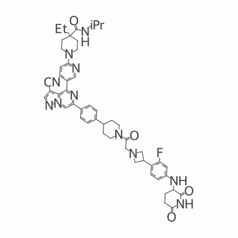 CCC1(C(=O)NC(C)C)CCN(c2ccc(-c3nc(-c4ccc(C5CCN(C(=O)CN6CC(c7ccc(NC8CCC(=O)NC8=O)cc7F)C6)CC5)cc4)cn4ncc(C#N)c34)cn2)CC1